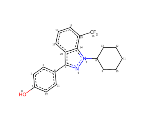 Oc1ccc(-c2nn(C3CCCCC3)c3c(C(F)(F)F)cccc23)cc1